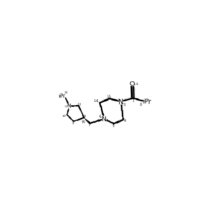 CC(C)C(=O)N1CCN(C[C@H]2CCN(C(C)C)C2)CC1